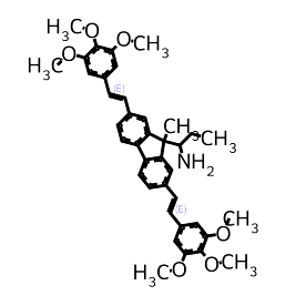 CCC(N)C1(C)c2cc(/C=C/c3cc(OC)c(OC)c(OC)c3)ccc2-c2ccc(/C=C/c3cc(OC)c(OC)c(OC)c3)cc21